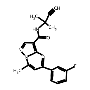 C#CC(C)(C)NC(=O)c1cnn2c(C)cc(-c3cccc(F)c3)nc12